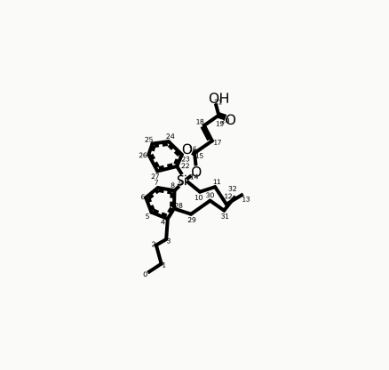 CCCCc1cccc([Si](CCCC)(OC(=O)/C=C/C(=O)O)c2ccccc2)c1CCCC